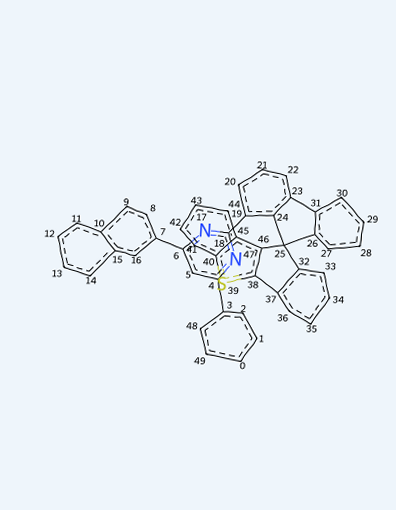 c1ccc(-c2cc(-c3ccc4ccccc4c3)nc(-c3cccc4c3C3(c5ccccc5-4)c4ccccc4-c4sc5ccccc5c43)n2)cc1